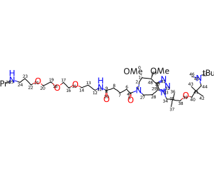 CO[C@H]1CN(C(=O)CCCC(=O)NCCCOCCOCCOCCCNC(C)C)CCc2c(nnn2CC(C)(C)COCC(C)(C)CN(C)C(C)(C)C)[C@@H]1OC